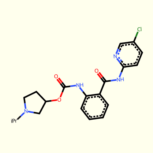 CC(C)N1CCC(OC(=O)Nc2ccccc2C(=O)Nc2ccc(Cl)cn2)C1